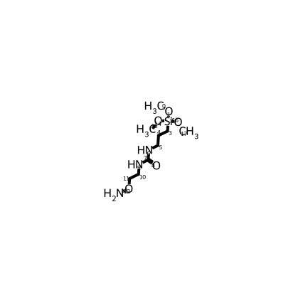 CO[Si](CCCNC(=O)NCCON)(OC)OC